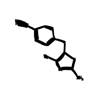 N#Cc1ccc(Cc2sc(N)nc2Br)cc1